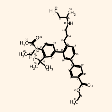 CCOC(=O)c1ccc(-c2ccc(CCCNC(C)CC)c(-c3ccc(N(CC)C(C)=O)c(C(C)(C)C)c3)c2)cc1